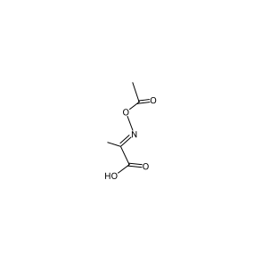 CC(=O)O/N=C(\C)C(=O)O